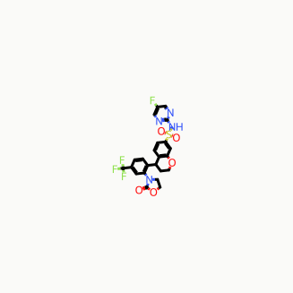 O=C1OCCN1c1cc(C(F)(F)F)ccc1C1CCOc2cc(S(=O)(=O)Nc3ncc(F)cn3)ccc21